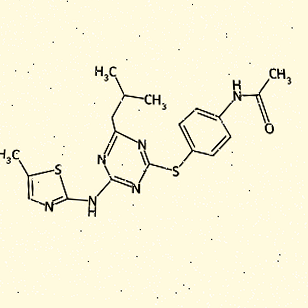 CC(=O)Nc1ccc(Sc2nc(CC(C)C)nc(Nc3ncc(C)s3)n2)cc1